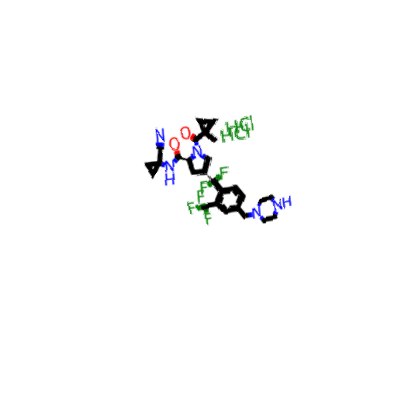 CC1(C(=O)N2C[C@H](C(F)(F)c3ccc(CN4CCNCC4)cc3C(F)(F)F)C[C@H]2C(=O)NC2(C#N)CC2)CC1.Cl.Cl